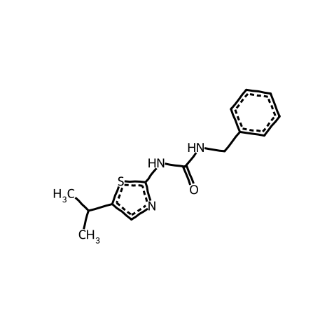 CC(C)c1cnc(NC(=O)NCc2ccccc2)s1